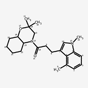 Cc1cccc2c1c(CCC(=O)N1CC(C)(C)OC3CCCCC31)cn2C